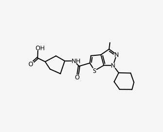 Cc1nn(C2CCCCC2)c2sc(C(=O)NC3CCC(C(=O)O)C3)cc12